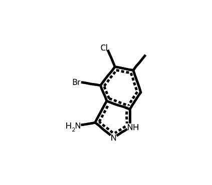 Cc1cc2[nH]nc(N)c2c(Br)c1Cl